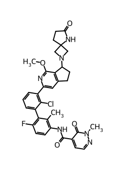 COc1nc(-c2cccc(-c3c(F)ccc(NC(=O)c4ccnn(C)c4=O)c3C)c2Cl)cc2c1C(N1CC3(CCC(=O)N3)C1)CC2